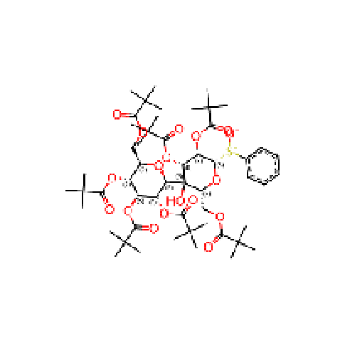 CC(C)(C)C(=O)OC[C@H]1O[C@@H]([C@]2(O)[C@H](OC(=O)C(C)(C)C)[C@@H](OC(=O)C(C)(C)C)[C@H]([S+]([O-])c3ccccc3)O[C@@H]2COC(=O)C(C)(C)C)[C@H](OC(=O)C(C)(C)C)[C@@H](OC(=O)C(C)(C)C)[C@@H]1OC(=O)C(C)(C)C